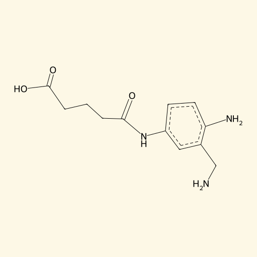 NCc1cc(NC(=O)CCCC(=O)O)ccc1N